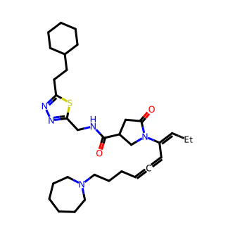 CC/C=C(\C=C=CCCCN1CCCCCC1)N1CC(C(=O)NCc2nnc(CCC3CCCCC3)s2)CC1=O